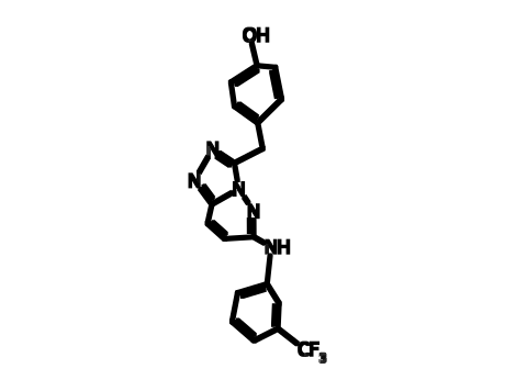 Oc1ccc(Cc2nnc3ccc(Nc4cccc(C(F)(F)F)c4)nn23)cc1